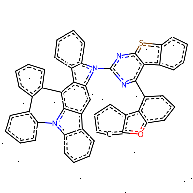 c1ccc2c(c1)-c1ccccc1-n1c3ccccc3c3cc4c(c-2c31)c1ccccc1n4-c1nc(-c2cccc3oc4ccccc4c23)c2c(n1)sc1ccccc12